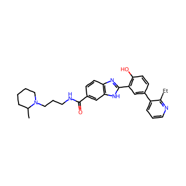 CCc1ncccc1-c1ccc(O)c(-c2nc3ccc(C(=O)NCCCN4CCCCC4C)cc3[nH]2)c1